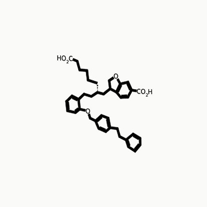 O=C(O)CCCCC[C@@H](CCc1ccccc1OCc1ccc(CCc2ccccc2)cc1)CC1COc2cc(C(=O)O)ccc21